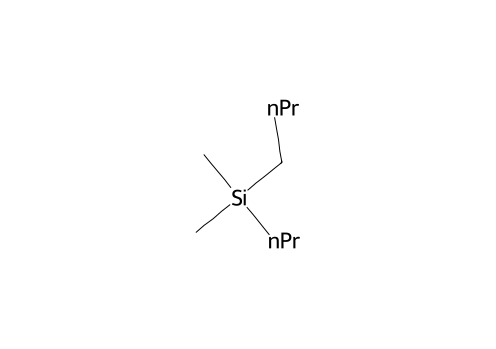 CCCC[Si](C)(C)CCC